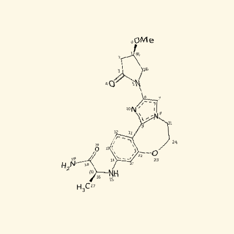 CO[C@@H]1CC(=O)N(c2cn3c(n2)-c2ccc(N[C@@H](C)C(N)=O)cc2OCC3)C1